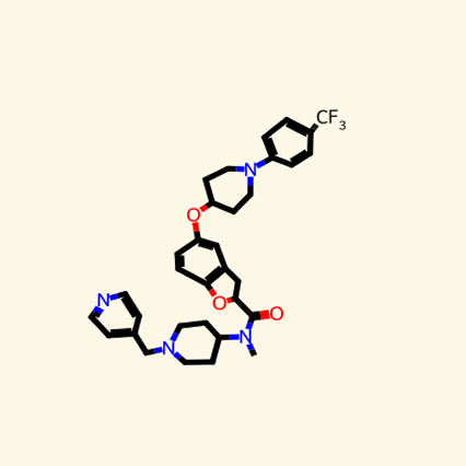 CN(C(=O)C1Cc2cc(OC3CCN(c4ccc(C(F)(F)F)cc4)CC3)ccc2O1)C1CCN(Cc2ccncc2)CC1